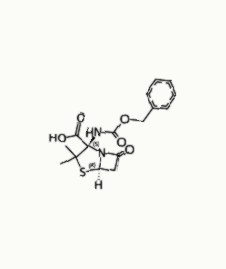 CC1(C)S[C@@H]2CC(=O)N2[C@@]1(NC(=O)OCc1ccccc1)C(=O)O